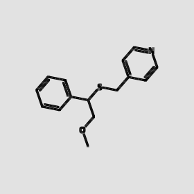 COCC(SCc1ccncc1)c1ccccc1